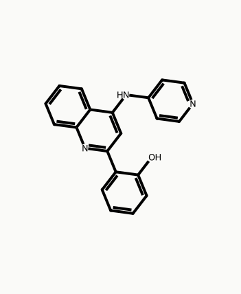 Oc1ccccc1-c1cc(Nc2ccncc2)c2ccccc2n1